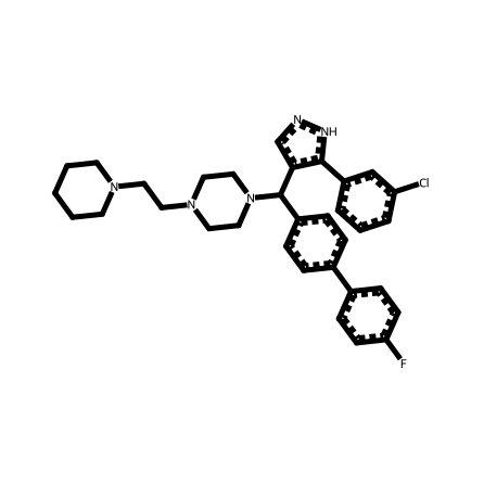 Fc1ccc(-c2ccc(C(c3cn[nH]c3-c3cccc(Cl)c3)N3CCN(CCN4CCCCC4)CC3)cc2)cc1